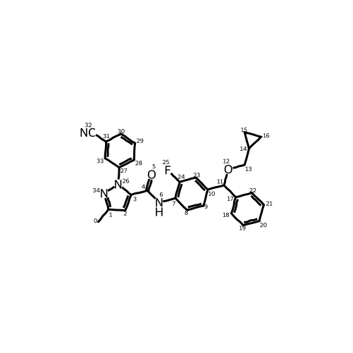 Cc1cc(C(=O)Nc2ccc(C(OCC3CC3)c3ccccc3)cc2F)n(-c2cccc(C#N)c2)n1